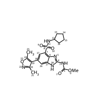 COC(=O)Nc1nc2c(S(=O)(=O)NC3CCCC3)cc(-c3c(C)noc3C)cc2[nH]1